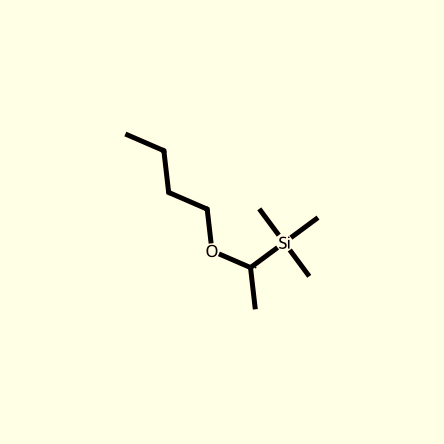 CCCCO[C](C)[Si](C)(C)C